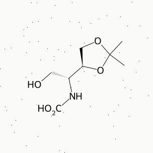 CC1(C)OC[C@H]([C@@H](CO)NC(=O)O)O1